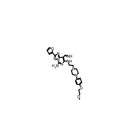 COCCOc1ccc(N2CCN(CCNc3nc(N)n4nc(-c5ccco5)nc4c3C=N)CC2)cc1